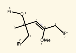 CCOC(C)(/C=C(/CC(C)C)OC)CC(C)C